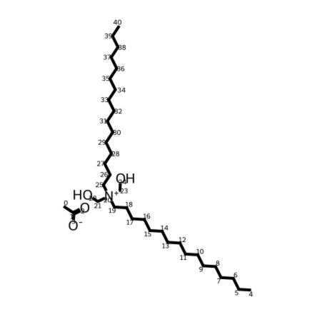 CC(=O)[O-].CCCCCCCCCCCCCCCC[N+](CO)(CO)CCCCCCCCCCCCCCCC